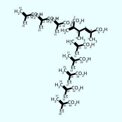 C=C(C(=O)O)C(C)C=C(C)C(=O)O.C=C(CC)C(=O)O.C=C(CC)C(=O)O.C=C(CC)C(=O)O.C=C(CC)C(=O)O.C=C(CC)C(=O)O.C=C(CC)C(=O)O.C=C(CC)C(=O)O.C=C(CC)C(=O)O